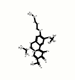 [2H]C([2H])([2H])Oc1cc2c(cc1OCCCOC)C[C@@H](C(C)C)n1cc(C(=O)O)c(=O)c(F)c1-2